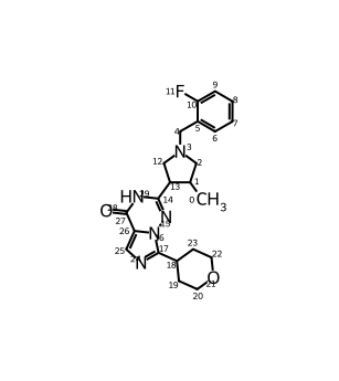 CC1CN(Cc2ccccc2F)CC1c1nn2c(C3CCOCC3)ncc2c(=O)[nH]1